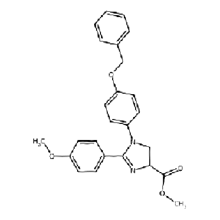 COC(=O)C1CN(c2ccc(OCc3ccccc3)cc2)C(c2ccc(OC)cc2)=N1